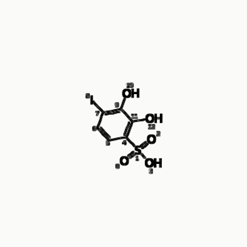 O=S(=O)(O)c1ccc(I)c(O)c1O